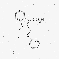 Cn1c(CSc2ccccc2)c(C(=O)O)c2ccccc21